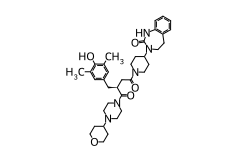 Cc1cc(C[C@@H](CC(=O)N2CCC(N3CCc4ccccc4NC3=O)CC2)C(=O)N2CCN(C3CCOCC3)CC2)cc(C)c1O